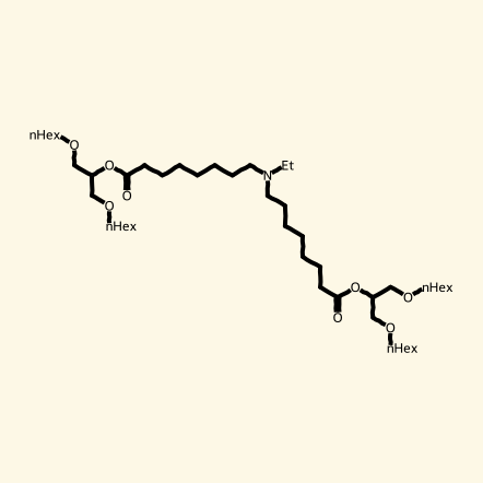 CCCCCCOCC(COCCCCCC)OC(=O)CCCCCCCN(CC)CCCCCCCC(=O)OC(COCCCCCC)COCCCCCC